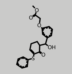 COC(=O)COc1cccc(C(O)C2CCC=C(Sc3ccccc3)C2=O)c1